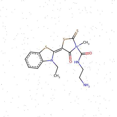 CCN1C(=C2SC(=S)[N+](C)(C(=O)NCCN)C2=O)Sc2ccccc21